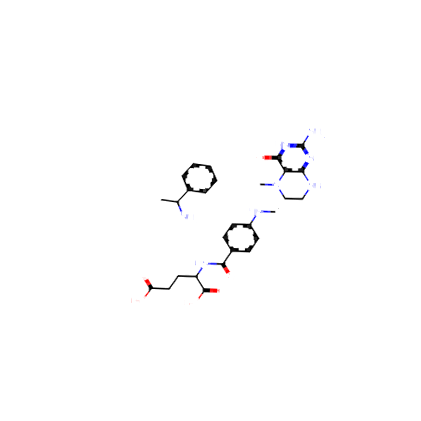 CC(N)c1ccccc1.CN1c2c(nc(N)[nH]c2=O)NC[C@@H]1CNc1ccc(C(=O)NC(CCC(=O)O)C(=O)O)cc1